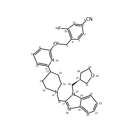 N#Cc1ccc(COc2cccc(C3CCN(Cc4nc5ccccc5n4C[C@H]4CCOC4)CC3)n2)c(F)c1